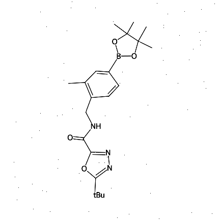 Cc1cc(B2OC(C)(C)C(C)(C)O2)ccc1CNC(=O)c1nnc(C(C)(C)C)o1